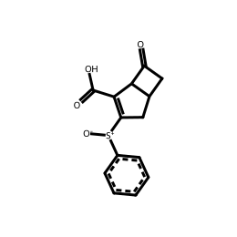 O=C(O)C1=C([S+]([O-])c2ccccc2)CC2CC(=O)C12